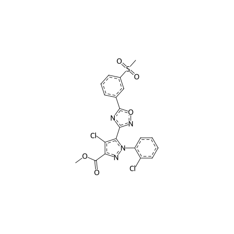 COC(=O)c1nn(-c2ccccc2Cl)c(-c2noc(-c3cccc(S(C)(=O)=O)c3)n2)c1Cl